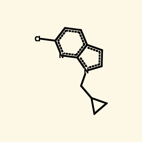 Clc1ccc2ccn(CC3CC3)c2n1